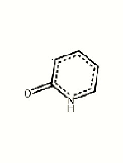 O=c1[c]ccc[nH]1